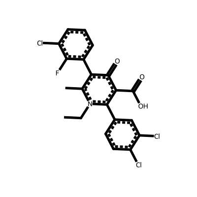 CCn1c(C)c(-c2cccc(Cl)c2F)c(=O)c(C(=O)O)c1-c1ccc(Cl)c(Cl)c1